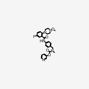 CON1CCN(c2ccc(F)cc2C(=O)Nc2ccc(CN(C)C(=O)Oc3cccnc3)cc2)CC1